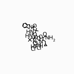 CC(C)(C)[C@H](NC(=O)N[C@H](C(=O)N1C[C@H]2[C@@H]([C@H]1C(=O)NC(CC1CC1)C(=O)C(N)=O)C2(Cl)Cl)C(C)(C)C)C(=O)N1Cc2ccccc2C1